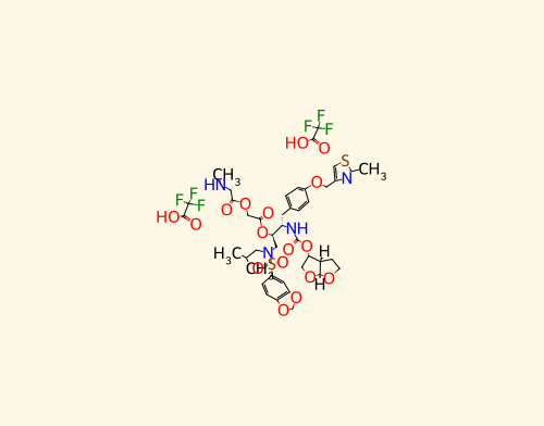 CNCC(=O)OCC(=O)O[C@H](CN(CC(C)C)S(=O)(=O)c1ccc2c(c1)OCO2)[C@H](Cc1ccc(OCc2csc(C)n2)cc1)NC(=O)O[C@H]1CO[C@H]2OCC[C@H]21.O=C(O)C(F)(F)F.O=C(O)C(F)(F)F